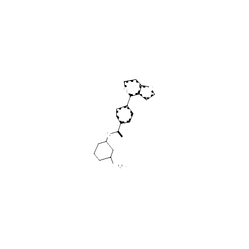 COC1CCCC(NC(=O)c2ccc(-c3nccc4occc34)cc2)C1